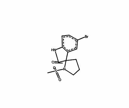 CS(=O)(=O)N1CCCC12C(=O)Nc1ccc(Br)cc12